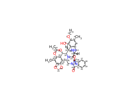 COc1c(C)cc2c(c1O)[C@@H]1N[C@H](C2)[C@H](C#N)N2C1Cc1c(OC(C)=O)c(C)c3c(c1[C@@H]2CN1C(=O)c2ccccc2C1=O)OCO3